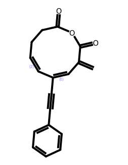 C=C1/C=C(C#Cc2ccccc2)\C=C/CCC(=O)OC1=O